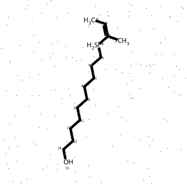 CC=C(C)[SiH2]CCCCCCCCCCO